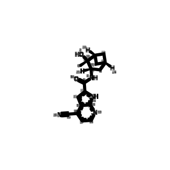 C[C@@]1(O)[C@H]2C[C@@H](C[C@@H]1NC(=O)c1cc3c(C#N)ccnc3[nH]1)C2